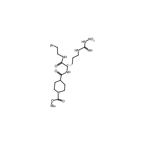 CC(C)CCNC(=O)[C@H](CCCNC(=N)N[N+](=O)[O-])NC(=O)C1CCN(C(=O)OC(C)(C)C)CC1